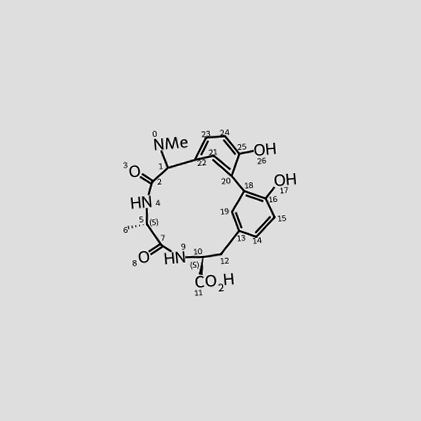 CNC1C(=O)N[C@@H](C)C(=O)N[C@H](C(=O)O)Cc2ccc(O)c(c2)-c2cc1ccc2O